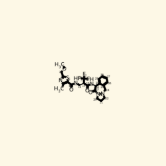 COCc1nc(C)c(C(=O)NC[C@H](C(=O)N[C@@H]2C(=O)N3CCCN3Cc3ccccc32)C(F)(F)F)s1